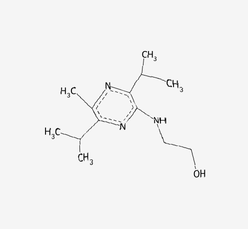 Cc1nc(C(C)C)c(NCCO)nc1C(C)C